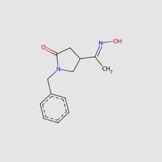 C/C(=N\O)C1CC(=O)N(Cc2ccccc2)C1